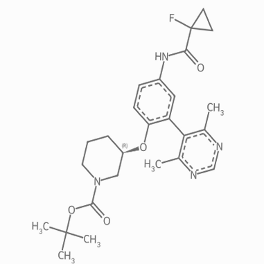 Cc1ncnc(C)c1-c1cc(NC(=O)C2(F)CC2)ccc1O[C@@H]1CCCN(C(=O)OC(C)(C)C)C1